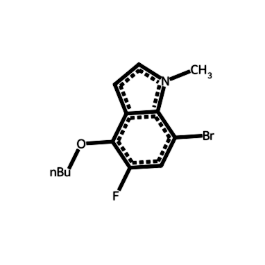 CCCCOc1c(F)cc(Br)c2c1ccn2C